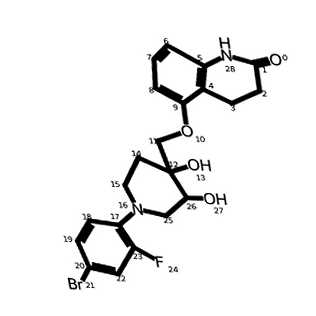 O=C1CCc2c(cccc2OCC2(O)CCN(c3ccc(Br)cc3F)CC2O)N1